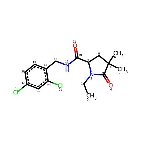 CCN1C(=O)C(C)(C)CC1C(=O)NCc1ccc(Cl)cc1Cl